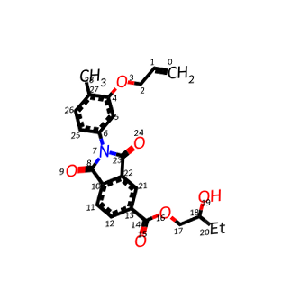 C=CCOc1cc(N2C(=O)c3ccc(C(=O)OCC(O)CC)cc3C2=O)ccc1C